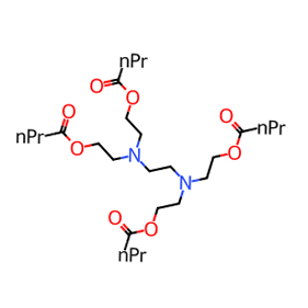 CCCC(=O)OCCN(CCOC(=O)CCC)CCN(CCOC(=O)CCC)CCOC(=O)CCC